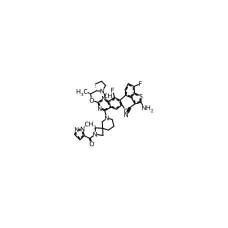 C[C@H](Oc1nc(N2CCCC3(CN(C(=O)c4ccnn4C)C3)C2)c2cc(Cl)c(-c3ccc(F)c4sc(N)c(C#N)c34)c(F)c2n1)[C@@H]1CCCN1C